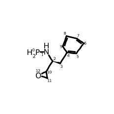 PN[C@@H](Cc1ccccc1)C1CO1